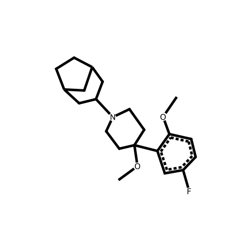 COc1ccc(F)cc1C1(OC)CCN(C2CC3CCC(C3)C2)CC1